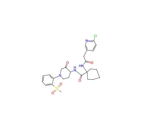 CS(=O)(=O)c1ccccc1N1CCC(NC(=O)C2(NC(=O)Cc3ccc(Cl)nc3)CCCCC2)C(=O)C1